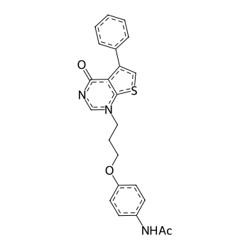 CC(=O)Nc1ccc(OCCCn2cnc(=O)c3c(-c4ccccc4)csc32)cc1